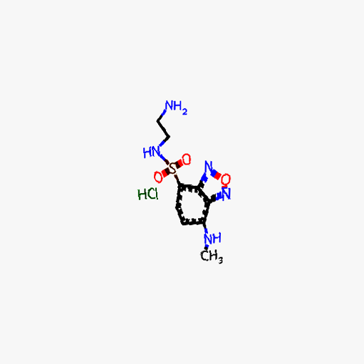 CNc1ccc(S(=O)(=O)NCCN)c2nonc12.Cl